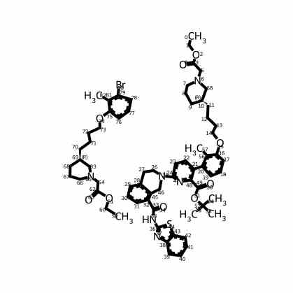 CCOC(=O)CN1CCC[C@@H](CCCCOc2cccc(-c3ccc(N4CCc5cccc(C(=O)Nc6nc7ccccc7s6)c5C4)nc3C(=O)OC(C)(C)C)c2C)C1.CCOC(=O)CN1CCC[C@@H](CCCCOc2cccc(Br)c2C)C1